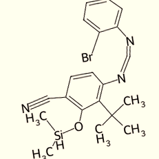 C[SiH](C)Oc1c(C#N)ccc(N=C=Nc2ccccc2Br)c1C(C)(C)C